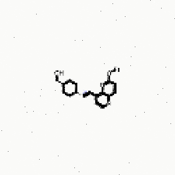 CCOc1ccc2nccc(/C=C/[C@H]3CC[C@H](CO)CC3)c2n1